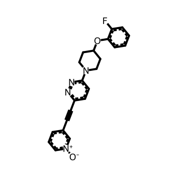 [O-][n+]1cccc(C#Cc2ccc(N3CCC(Oc4ccccc4F)CC3)nn2)c1